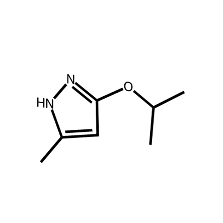 Cc1cc(OC(C)C)n[nH]1